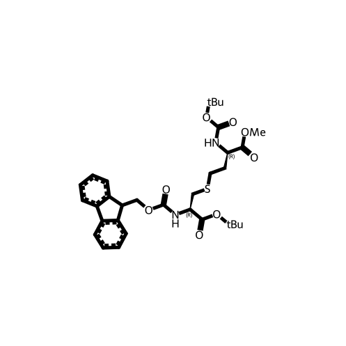 COC(=O)[C@@H](CCSC[C@H](NC(=O)OCC1c2ccccc2-c2ccccc21)C(=O)OC(C)(C)C)NC(=O)OC(C)(C)C